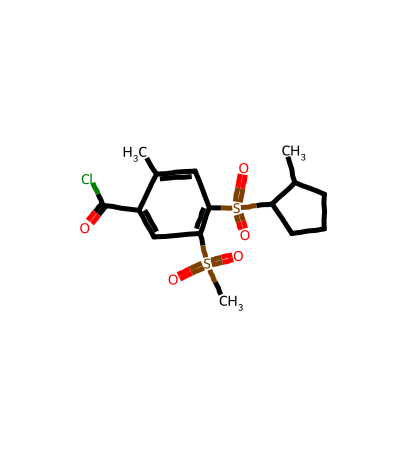 Cc1cc(S(=O)(=O)C2CCCC2C)c(S(C)(=O)=O)cc1C(=O)Cl